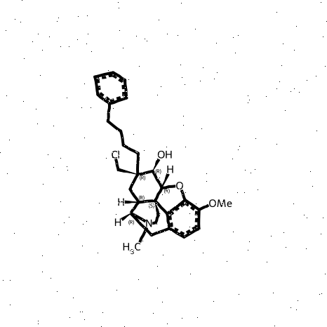 COc1ccc2c3c1O[C@H]1[C@H](O)[C@@](CCl)(CCCCc4ccccc4)C[C@H]4[C@@H](C2)N(C)CC[C@@]341